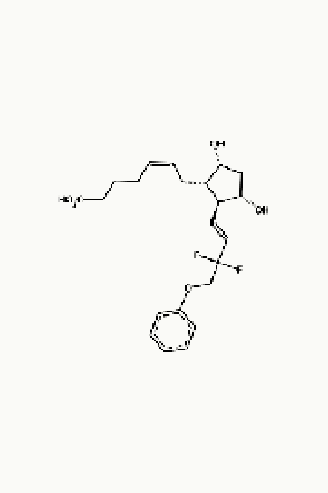 O=C(O)CCC/C=C\C[C@H]1[C@H](/C=C/C(F)(F)COc2ccccc2)[C@@H](O)C[C@H]1O